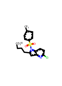 O=C(O)CCCc1cc2nc(Cl)ccc2n1S(=O)(=O)c1ccc(C(F)(F)F)cc1